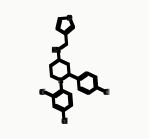 Clc1ccc(C2CC(NCc3ccoc3)CCN2c2ccc(Cl)cc2Cl)cc1